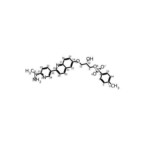 Cc1ccc(S(=O)(=O)OC[C@@H](O)COc2ccc3nc(-c4ccc(N(C)N)nc4)ccc3c2)cc1